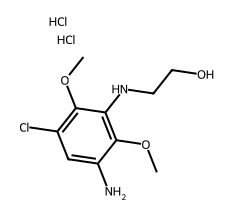 COc1c(N)cc(Cl)c(OC)c1NCCO.Cl.Cl